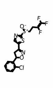 [O-][S+](CCC(F)=C(F)F)c1ncc(C2=NOC(c3ccccc3Cl)C2)s1